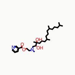 CC(C)CCCC(C)CCCC(C)CCCC(C)(O)C(O)CN(C)CCOC(=O)c1cccnc1